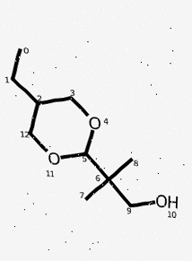 CCC1COC(C(C)(C)CO)OC1